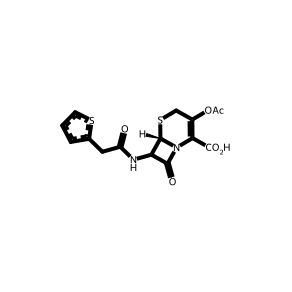 CC(=O)OC1=C(C(=O)O)N2C(=O)C(NC(=O)Cc3cccs3)[C@@H]2SC1